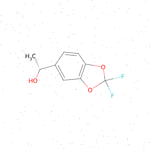 C[C@@H](O)c1ccc2c(c1)OC(F)(F)O2